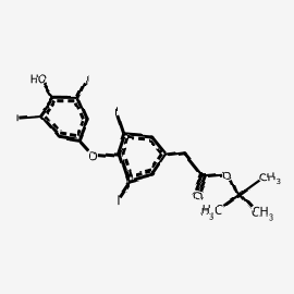 CC(C)(C)OC(=O)Cc1cc(I)c(Oc2cc(I)c(O)c(I)c2)c(I)c1